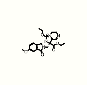 CCOC(=O)N[C@](CN1Cc2ccc(OC)cc2C1=O)(C(=O)OCC)c1cnccn1